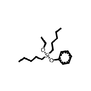 CCCCC[Si](CCCCC)(OCC)Oc1ccccc1